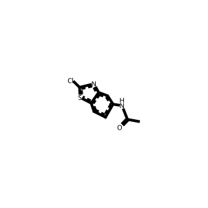 CC(=O)Nc1ccc2sc(Cl)nc2c1